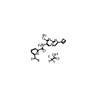 CC(C)Oc1nc2nc(C34CC(C3)C4)cn2cc1NC(=O)c1cccc(C(F)F)n1.O=C(O)C(F)(F)F